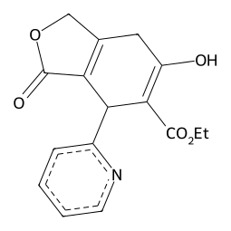 CCOC(=O)C1=C(O)CC2=C(C(=O)OC2)C1c1ccccn1